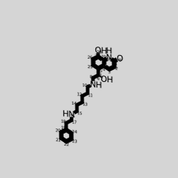 O=c1ccc2c([C@@H](O)CNCCCCCCNCCc3ccccc3)ccc(O)c2[nH]1